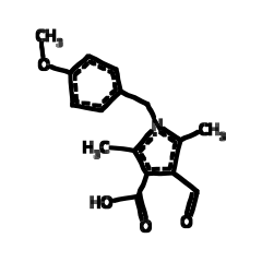 COc1ccc(Cn2c(C)c(C=O)c(C(=O)O)c2C)cc1